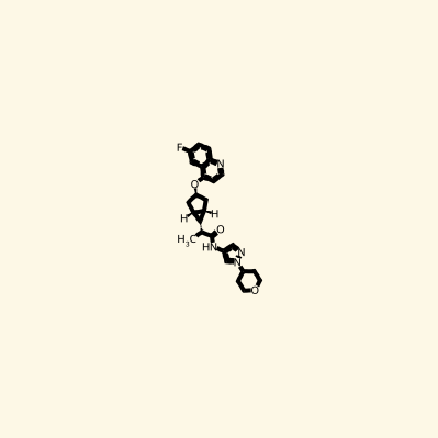 CC(C(=O)Nc1cnn(C2CCOCC2)c1)[C@@H]1[C@@H]2C[C@@H](Oc3ccnc4ccc(F)cc34)C[C@@H]21